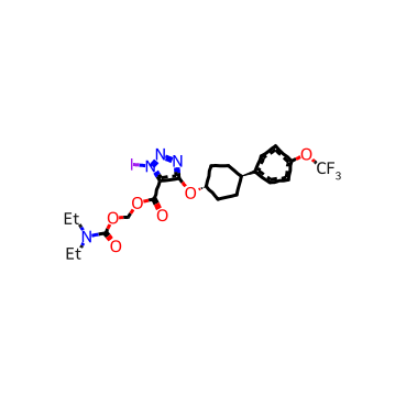 CCN(CC)C(=O)OCOC(=O)c1c(O[C@H]2CC[C@H](c3ccc(OC(F)(F)F)cc3)CC2)nnn1I